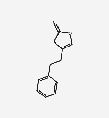 O=C1CC(CCc2ccccc2)=CO1